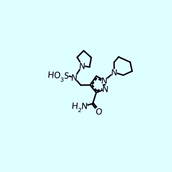 NC(=O)c1nn(N2CCCCC2)cc1CN(N1CCCC1)S(=O)(=O)O